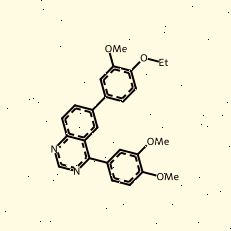 CCOc1ccc(-c2ccc3ncnc(-c4ccc(OC)c(OC)c4)c3c2)cc1OC